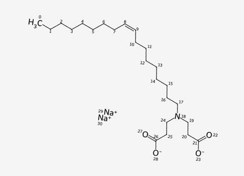 CCCCCCCC/C=C\CCCCCCCCN(CCC(=O)[O-])CCC(=O)[O-].[Na+].[Na+]